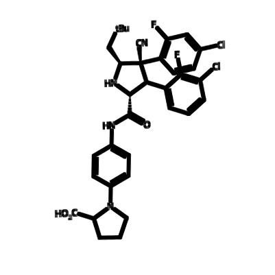 CC(C)(C)C[C@@H]1N[C@@H](C(=O)Nc2ccc(N3CCCC3C(=O)O)cc2)C(c2cccc(Cl)c2F)[C@@]1(C#N)c1ccc(Cl)cc1F